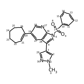 Cn1cc(-c2cn(S(=O)(=O)c3ccccc3)c3ncc(C4=CCCCCC4)cc23)cn1